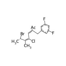 CC(=O)/C(=C/C(Cl)=C(/C)[C@H](C)Br)Cc1cc(F)cc(F)c1